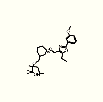 CCCC(C)(OCC1CCC[C@H](OCc2nc(-c3cccc(OC)c3)oc2CC)C1)C(=O)O